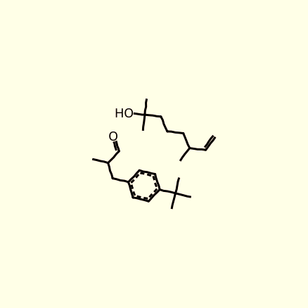 C=CC(C)CCCC(C)(C)O.CC(C=O)Cc1ccc(C(C)(C)C)cc1